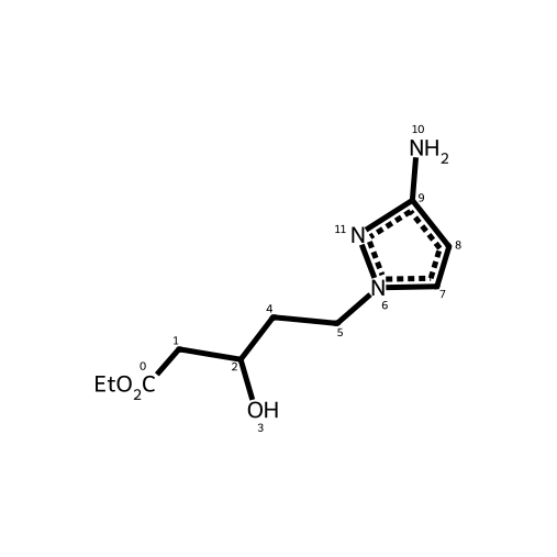 CCOC(=O)CC(O)CCn1ccc(N)n1